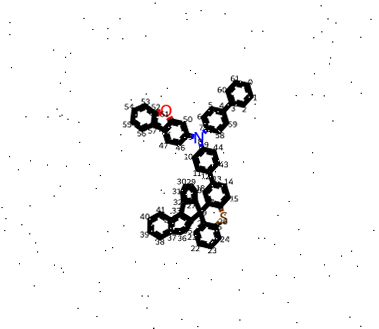 c1ccc(-c2ccc(N(c3ccc(-c4ccc5c(c4)C4(c6ccccc6S5)c5ccccc5-c5c4ccc4ccccc54)cc3)c3ccc4c(c3)oc3ccccc34)cc2)cc1